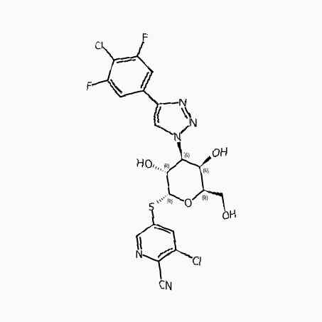 N#Cc1ncc(S[C@H]2O[C@H](CO)[C@H](O)[C@H](n3cc(-c4cc(F)c(Cl)c(F)c4)nn3)[C@H]2O)cc1Cl